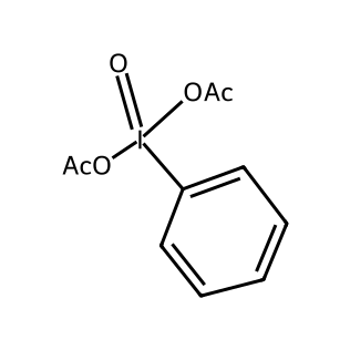 CC(=O)OI(=O)(OC(C)=O)c1ccccc1